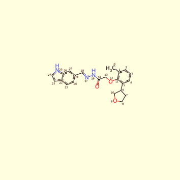 Cc1cccc(C2CCOC2)c1OCC(=O)N/N=C/c1ccc2cc[nH]c2c1